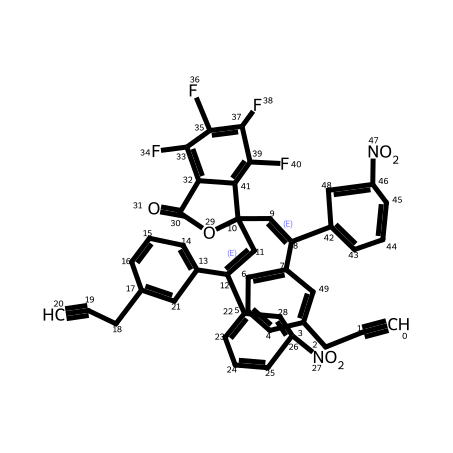 C#CCc1cccc(/C(=C\C2(/C=C(\c3cccc(CC#C)c3)c3cccc([N+](=O)[O-])c3)OC(=O)c3c(F)c(F)c(F)c(F)c32)c2cccc([N+](=O)[O-])c2)c1